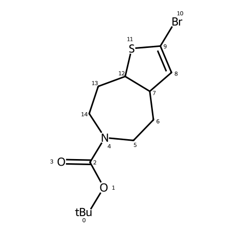 CC(C)(C)OC(=O)N1CCC2C=C(Br)SC2CC1